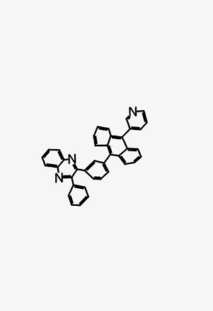 c1ccc(-c2nc3ccccc3nc2-c2cccc(-c3c4ccccc4c(-c4cccnc4)c4ccccc34)c2)cc1